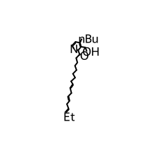 CCC=CCC=CCC=CCCCCCCCC(=O)c1nccc(CCCC)c1CO